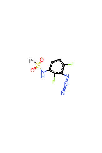 CC(C)S(=O)(=O)Nc1ccc(F)c(N=[N+]=[N-])c1F